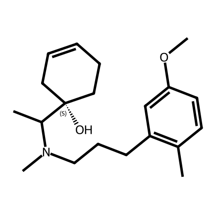 COc1ccc(C)c(CCCN(C)C(C)[C@@]2(O)CC=CCC2)c1